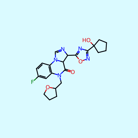 O=C1C2C(c3nc(C4(O)CCCC4)no3)N=CN2c2ccc(F)cc2N1CC1CCCO1